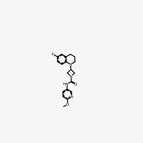 COc1ccc(NC(=O)N2CC(N3CCCc4cc(F)ccc43)C2)cn1